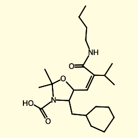 CCCCNC(=O)C(=CC1OC(C)(C)N(C(=O)O)C1CC1CCCCC1)C(C)C